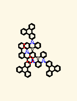 c1ccc(-c2cccc(-c3ccccc3)c2N2c3cc4c(cc3B3c5ccccc5N(c5ccc6c7ccccc7c7ccccc7c6c5)c5cccc2c53)B2c3ccccc3N(c3ccc5c6ccccc6c6ccccc6c5c3)c3cccc(c32)N4c2ccc3c4ccccc4c4ccccc4c3c2)cc1